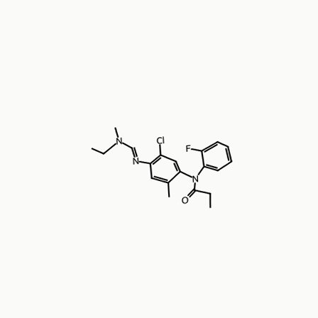 CCC(=O)N(c1cc(Cl)c(N=CN(C)CC)cc1C)c1ccccc1F